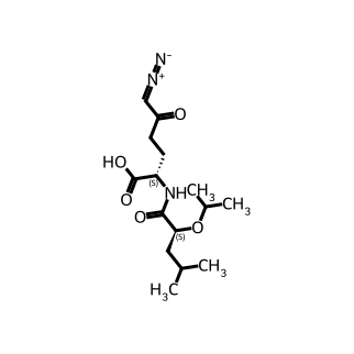 CC(C)C[C@H](OC(C)C)C(=O)N[C@@H](CCC(=O)C=[N+]=[N-])C(=O)O